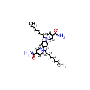 CCCCCCCC[N+]1(c2ccc([N+]3(CCCCCCCC)C=CC(C(N)=O)=CC3)cc2)C=CC(C(N)=O)=CC1